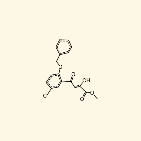 COC(=O)/C(O)=C/C(=O)c1cc(Cl)ccc1OCc1ccccc1